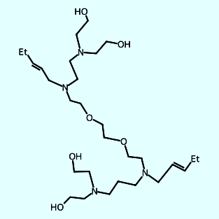 CCC=CCN(CCCN(CCO)CCO)CCOCCOCCN(CC=CCC)CCN(CCO)CCO